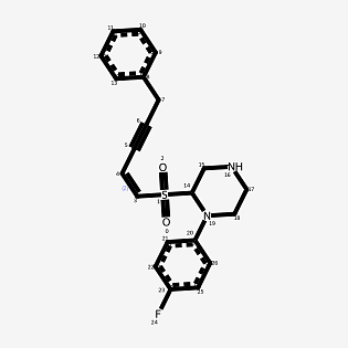 O=S(=O)(/C=C\C#CCc1ccccc1)C1CNCCN1c1ccc(F)cc1